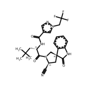 CC(C)(C)C[C@H](NC(=O)c1cnn(CC(F)(F)F)c1)C(=O)N1C[C@]2(C[C@H]1C#N)C(=O)Nc1ccccc12